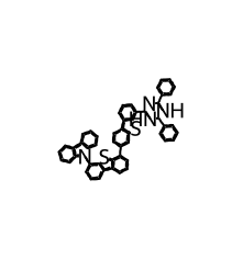 c1ccc(C2N=C(c3cccc4c3sc3cc(-c5cccc6c5sc5c(-n7c8ccccc8c8ccccc87)cccc56)ccc34)NC(c3ccccc3)N2)cc1